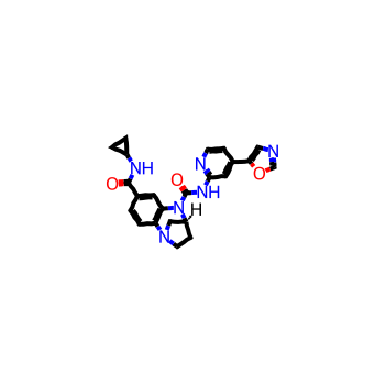 O=C(NC1CC1)c1ccc2c(c1)N(C(=O)Nc1cc(-c3cnco3)ccn1)[C@H]1CCN2C1